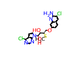 CS[C@H](COc1ccc2cc(Cl)c(N)nc2c1)[C@@H](O)[C@@H](O)n1ccc2c(Cl)ncnc21